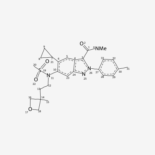 CNC(=O)c1c2cc(C3CC3)c(N(CCC3(C)COC3)S(C)(=O)=O)cc2nn1-c1ccc(C)cc1